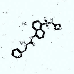 Cl.N[C@@H](Cc1ccccc1)C(=O)Nc1cccc2c(S(=O)(=O)NC3COC3)cccc12